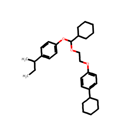 CCC(C)c1ccc(OC(OCCOc2ccc(C3CCCCC3)cc2)C2CCCCC2)cc1